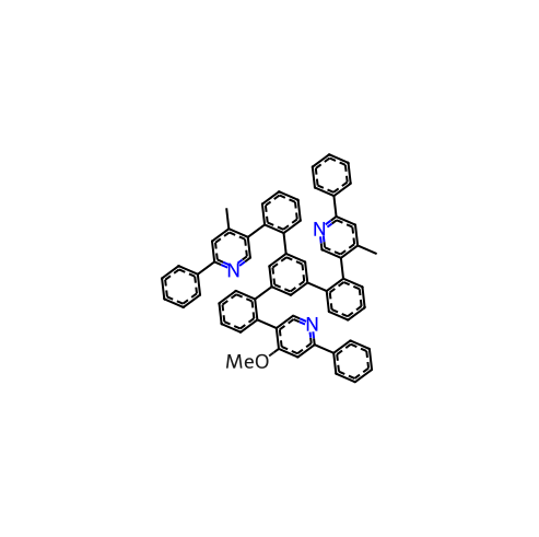 COc1cc(-c2ccccc2)ncc1-c1ccccc1-c1cc(-c2ccccc2-c2cnc(-c3ccccc3)cc2C)cc(-c2ccccc2-c2cnc(-c3ccccc3)cc2C)c1